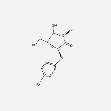 O=C1[C@@H](Oc2ccc(O)cc2)OC(CO)C(O)[C@H]1O